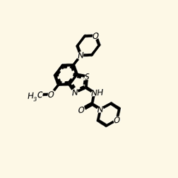 COc1ccc(N2CCOCC2)c2sc(NC(=O)N3CCOCC3)nc12